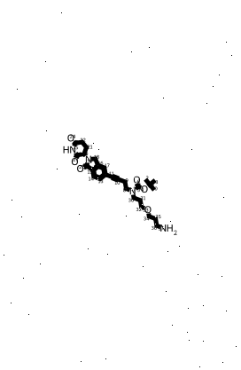 CC(C)(C)OC(=O)N(CCC#Cc1ccc2c(c1)CN(C1CCC(=O)NC1=O)C2=O)CCCOCCCN